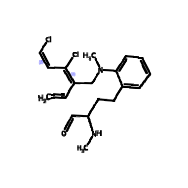 C=C/C(CN(C)c1ccccc1CCC(C=O)NC)=C(Cl)\C=C/Cl